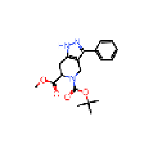 COC(=O)C1Cc2[nH]nc(-c3ccccc3)c2CN1C(=O)OC(C)(C)C